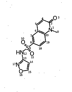 Cn1c(=O)ccc2cc(S(=O)(=O)Nc3ccon3)ccc21